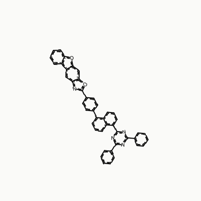 c1ccc(-c2nc(-c3ccccc3)nc(-c3cccc4c(-c5ccc(-c6nc7cc8c(cc7o6)oc6ccccc68)cc5)cccc34)n2)cc1